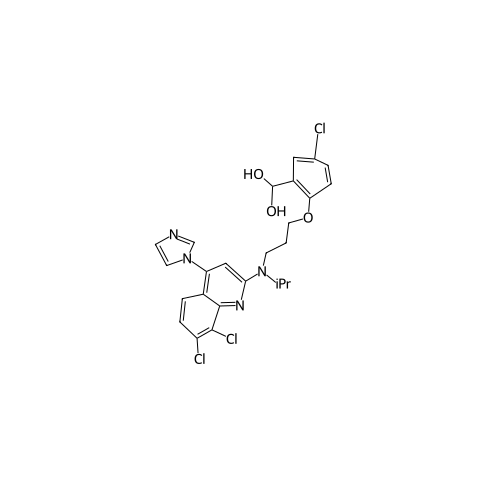 CC(C)N(CCCOc1ccc(Cl)cc1C(O)O)c1cc(-n2ccnc2)c2ccc(Cl)c(Cl)c2n1